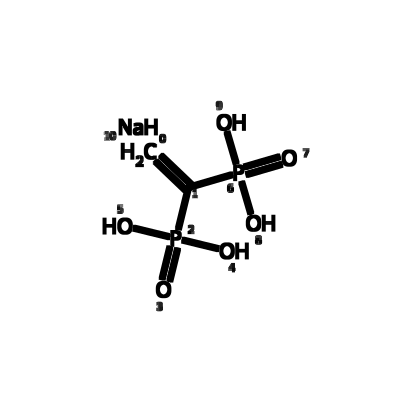 C=C(P(=O)(O)O)P(=O)(O)O.[NaH]